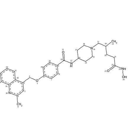 Cc1cc(COc2ccc(C(=O)NC3CCN(CC(C)CCC(=O)NO)CC3)cc2)c2ccccc2n1